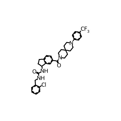 O=C(NCc1ccccc1Cl)NC1CCc2ccc(C(=O)N3CCC4(CC3)CCN(c3ccc(C(F)(F)F)cc3)CC4)cc21